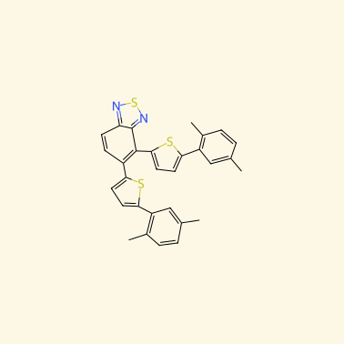 Cc1ccc(C)c(-c2ccc(-c3ccc4nsnc4c3-c3ccc(-c4cc(C)ccc4C)s3)s2)c1